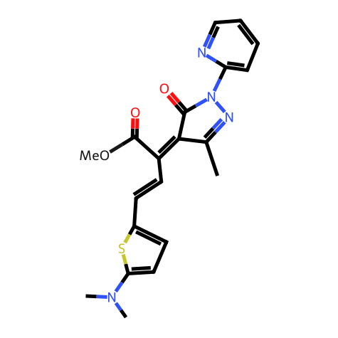 COC(=O)/C(C=Cc1ccc(N(C)C)s1)=C1\C(=O)N(c2ccccn2)N=C1C